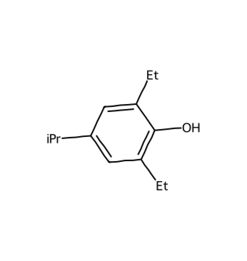 CCc1cc(C(C)C)cc(CC)c1O